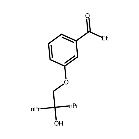 CCCC(O)(CCC)COc1cccc(C(=O)CC)c1